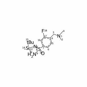 CN(C)Cc1ccc(S(N)(=O)=N[Si](C)(C)C(C)(C)C)cc1F